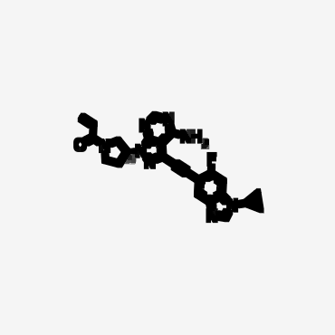 C=CC(=O)N1CC[C@H](n2nc(C#Cc3cc4ncn(C5CC5)c4cc3F)c3c(N)ncnc32)C1